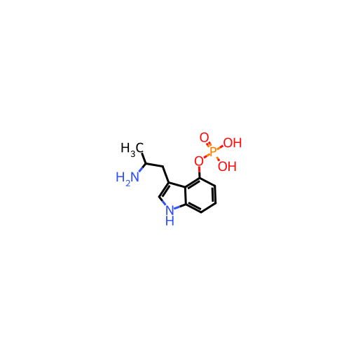 CC(N)Cc1c[nH]c2cccc(OP(=O)(O)O)c12